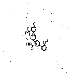 CCOc1ncccc1-c1ccc2c(n1)C(=O)NC[C@]21CCN(c2ccc(Cl)cc2C(F)(F)F)C[C@H]1CC